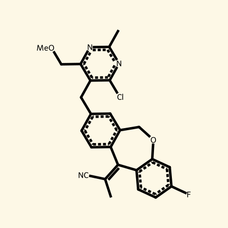 COCc1nc(C)nc(Cl)c1Cc1ccc2c(c1)COc1cc(F)ccc1C2=C(C)C#N